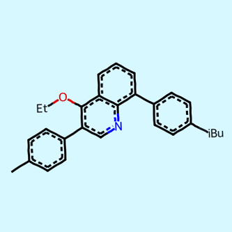 CCOc1c(-c2ccc(C)cc2)cnc2c(-c3ccc(C(C)CC)cc3)cccc12